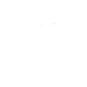 CCCCOC(CC)C(C)CF